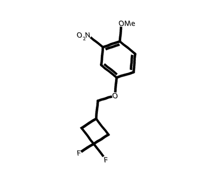 COc1ccc(OCC2CC(F)(F)C2)cc1[N+](=O)[O-]